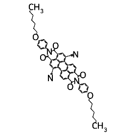 CCCCCCCOc1ccc(N2C(=O)c3ccc4c5c(C#N)cc6c7c(cc(C#N)c(c8ccc(c3c48)C2=O)c75)C(=O)N(c2ccc(OCCCCCCC)cc2)C6=O)cc1